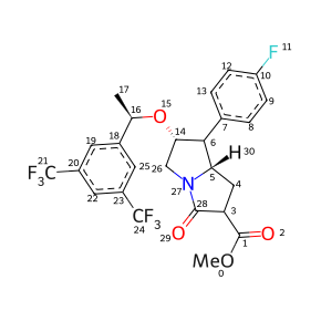 COC(=O)C1C[C@H]2C(c3ccc(F)cc3)[C@@H](O[C@H](C)c3cc(C(F)(F)F)cc(C(F)(F)F)c3)CN2C1=O